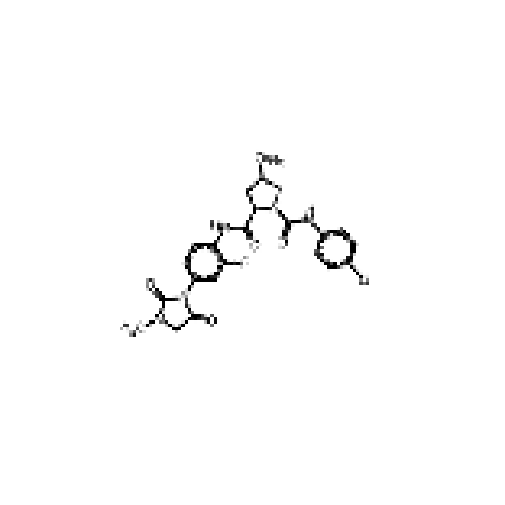 COC1CC(C(=O)Nc2ccc(N3C(=O)CN(C)C3=O)cc2F)N(C(=O)Nc2ccc(Cl)cc2)C1